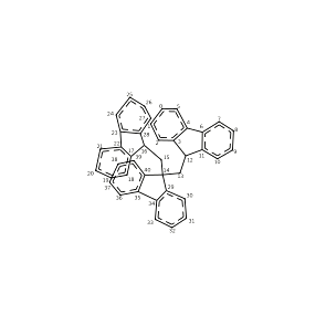 c1ccc2c(c1)-c1ccccc1C2CC1(CC2c3ccccc3-c3ccccc32)c2ccccc2-c2ccccc21